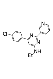 CCNc1cc(-c2ccc(Cl)cc2)nc(-c2cccnc2)n1